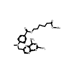 CN(Cc1cnc2nc(N)nc(N)c2n1)c1ccc(C(=O)OCCCCCC(=O)OC(C)(C)C)cc1